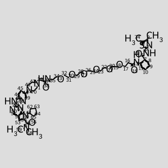 Cc1nc(NC(=O)c2ccccc2NC(=O)CCOCCOCCOCCOCCOCCOCCNC(=O)CN2CCN(c3ccc(Nc4ncc5cc(C(=O)N(C)C)n(C6CCCC6)c5n4)nc3)CC2)sc1C